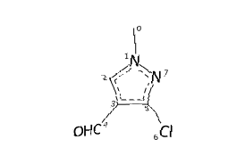 Cn1cc(C=O)c(Cl)n1